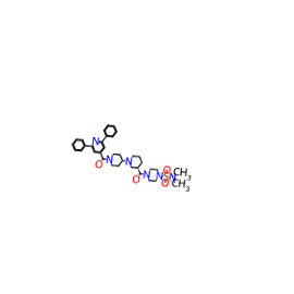 CN(C)S(=O)(=O)N1CCN(C(=O)[C@@H]2CCCN(C3CCN(C(=O)c4cc(-c5ccccc5)nc(-c5ccccc5)c4)CC3)C2)CC1